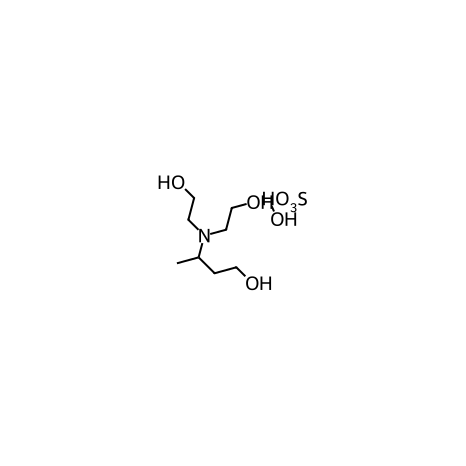 CC(CCO)N(CCO)CCO.O=S(=O)(O)O